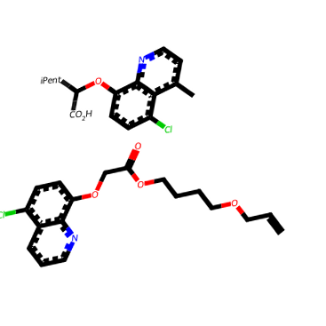 C=CCOCCCCOC(=O)COc1ccc(Cl)c2cccnc12.CCCC(C)C(Oc1ccc(Cl)c2c(C)ccnc12)C(=O)O